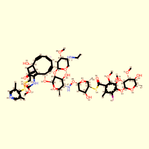 CCN[C@H]1CO[C@@H](O[C@H]2[C@H](O[C@H]3C#C/C=C\C#C[C@]4(O)CC(=O)C(NC(=O)OC)=C3/C4=C\CSSc3c(C)cncc3C)O[C@H](C)[C@@H](NO[C@H]3C[C@H](O)[C@H](SC(=O)c4c(C)c(I)c(O[C@@H]5O[C@@H](C)[C@H](O)[C@@H](OC)[C@H]5O)c(OC)c4OC)[C@@H](C)O3)[C@@H]2O)C[C@@H]1OC